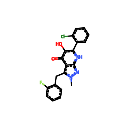 Cn1nc2[nH]c(-c3ccccc3Cl)c(O)c(=O)c2c1Cc1ccccc1F